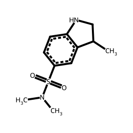 CC1CNc2ccc(S(=O)(=O)N(C)C)cc21